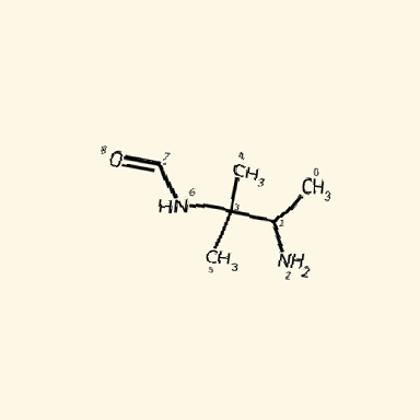 CC(N)C(C)(C)N[C]=O